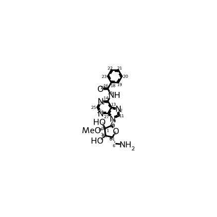 CO[C@@]1(O)[C@H](O)[C@@H](CN)O[C@H]1n1cnc2c(NC(=O)c3ccccc3)ncnc21